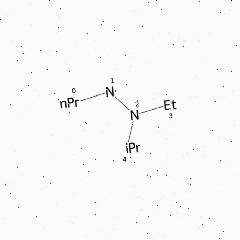 CCC[N]N(CC)C(C)C